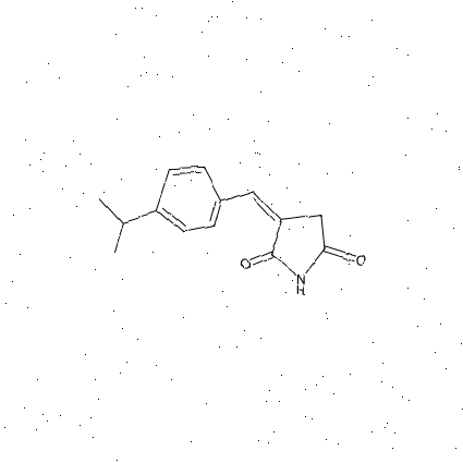 CC(C)c1ccc(C=C2CC(=O)NC2=O)cc1